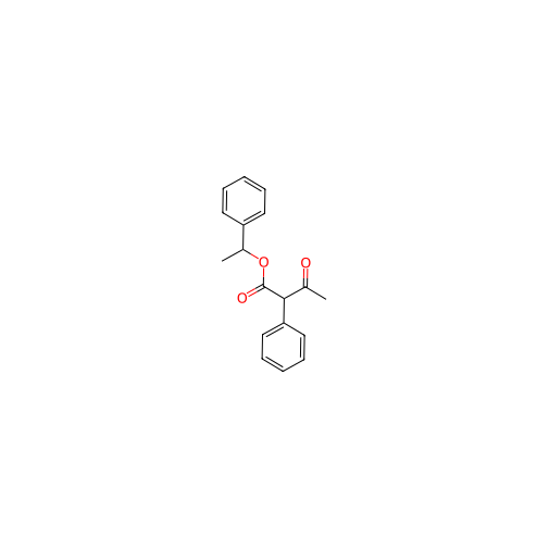 CC(=O)C(C(=O)OC(C)c1ccccc1)c1ccccc1